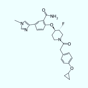 Cn1cnc(-c2ccc(O[C@@H]3CCN(C(=O)Cc4ccc(OC5CC5)cc4)C[C@H]3F)c(C(N)=O)c2)c1